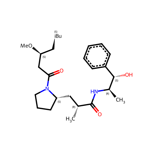 CC[C@H](C)C[C@@H](CC(=O)N1CCC[C@H]1C[C@@H](C)C(=O)N[C@H](C)[C@@H](O)c1ccccc1)OC